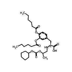 CCCCCC(=O)Oc1ccc(C[C@H](NCC(C)OC(=O)OC2CCCCC2)C(=O)O)cc1OC(=O)CCCCC